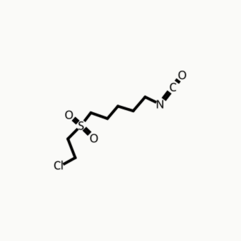 O=C=NCCCCCS(=O)(=O)CCCl